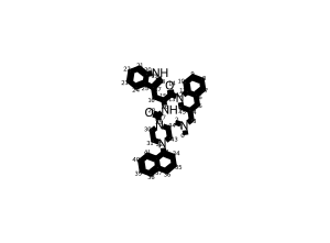 CN(C)CC1Cc2ccccc2N(C(=O)C(Cc2c[nH]c3ccccc23)NC(=O)N2CCN(c3cccc4ccccc34)CC2)C1